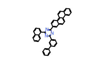 c1ccc(-c2cccc(-c3nc(-c4ccc5c(ccc6c7ccccc7ccc56)c4)nc(-c4cccc5ccccc45)n3)c2)cc1